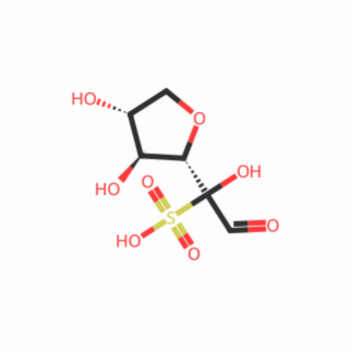 O=CC(O)([C@H]1OC[C@@H](O)[C@@H]1O)S(=O)(=O)O